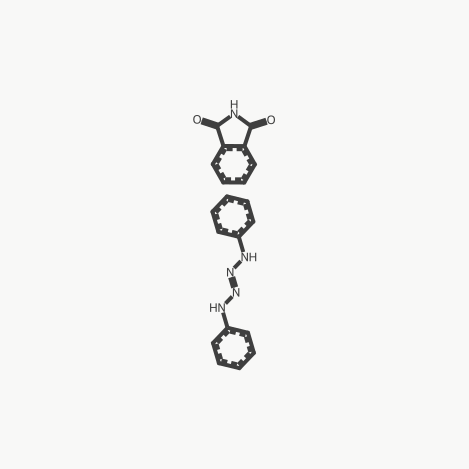 O=C1NC(=O)c2ccccc21.c1ccc(NN=NNc2ccccc2)cc1